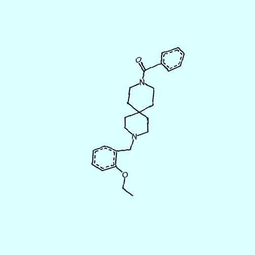 CCOc1ccccc1CN1CCC2(CC1)CCN(C(=O)c1ccccc1)CC2